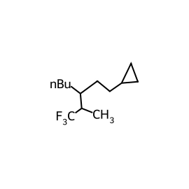 CCCCC(CCC1CC1)C(C)C(F)(F)F